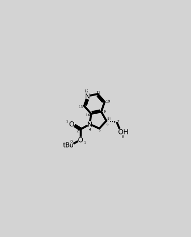 CC(C)(C)OC(=O)N1C[C@@H](CO)c2ccncc21